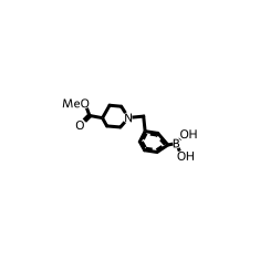 COC(=O)C1CCN(Cc2cccc(B(O)O)c2)CC1